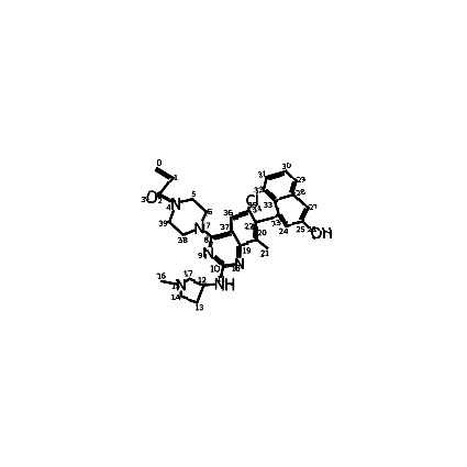 C=CC(=O)N1CCN(c2nc(NC3CCN(C)C3)nc3c(C)c(-c4cc(O)cc5ccccc45)c(Cl)cc23)CC1